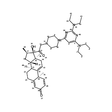 CCN(CC)c1cc(N2CCN(CC(=O)[C@@]3(O)[C@H](C)C[C@H]4[C@@H]5CCC6=CC(=O)C=C[C@]6(C)C5=CC[C@@]43C)CC2)nc(N(CC)CC)n1